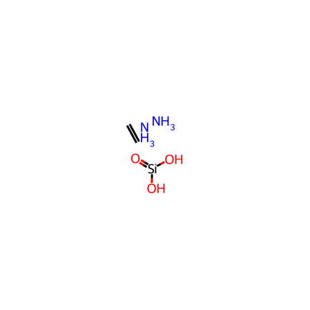 C=C.N.N.O=[Si](O)O